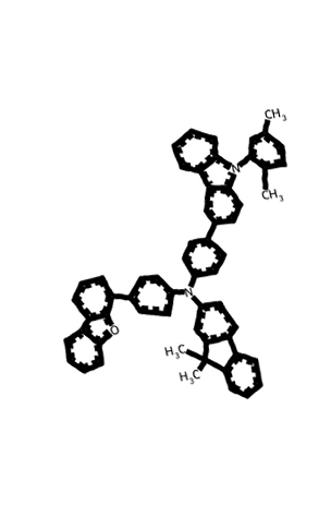 Cc1ccc(C)c(-n2c3ccccc3c3cc(-c4ccc(N(c5ccc(-c6cccc7c6oc6ccccc67)cc5)c5ccc6c(c5)C(C)(C)c5ccccc5-6)cc4)ccc32)c1